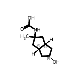 CC1(NC(=O)O)C[C@H]2C[C@@H](O)C[C@H]2C1